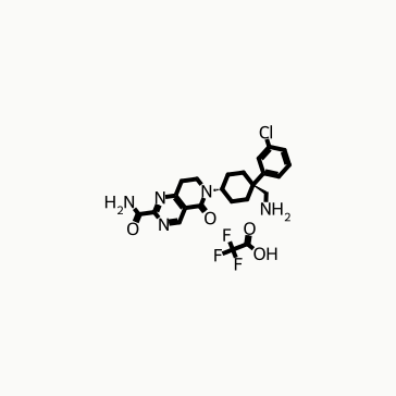 NC[C@]1(c2cccc(Cl)c2)CC[C@@H](N2CCc3nc(C(N)=O)ncc3C2=O)CC1.O=C(O)C(F)(F)F